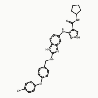 O=C(NC1CCCC1)c1c[nH]nc1Nc1ccc2[nH]c(NCc3ccc(Oc4ccc(Cl)cc4)cc3)nc2c1